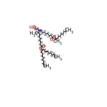 CCCCCCCCC(C)OC(=O)CCCCCCCN(CCO)C(C)CCCCCCC(=O)OC(CCCCCCCC)CCCCCCCC